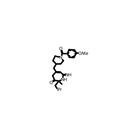 COc1ccc(C(=O)N2CCC(CC3=CC(=N)NC(C)(CC(C)C)C(=O)C3)CC2)cc1